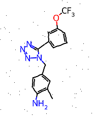 Cc1cc(Cn2nnnc2-c2cccc(OC(F)(F)F)c2)ccc1N